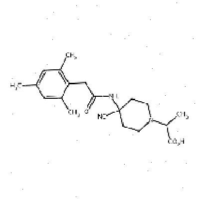 Cc1cc(C)c(CC(=O)NC2(C#N)CCN(C(C)C(=O)O)CC2)c(C)c1